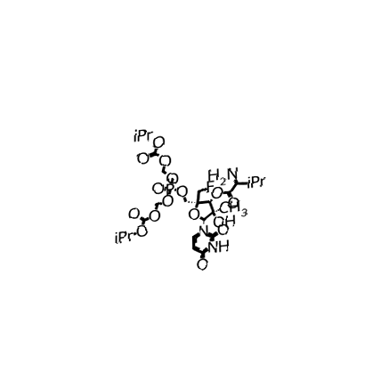 CC(C)OC(=O)OCOP(=O)(OCOC(=O)OC(C)C)OC[C@@]1(CF)O[C@@H](n2ccc(=O)[nH]c2=O)[C@](C)(O)[C@@H]1OC(=O)C(N)C(C)C